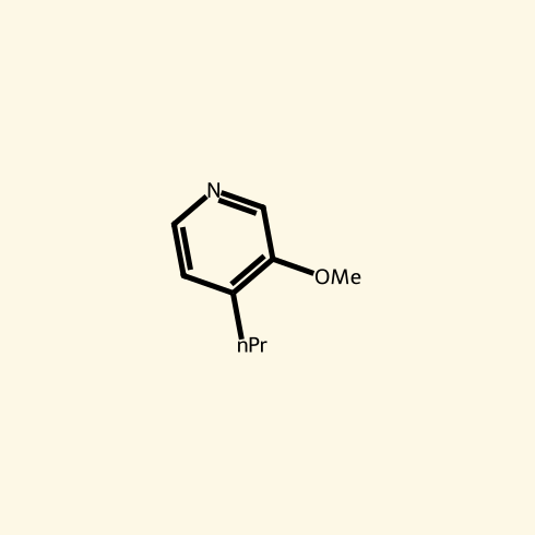 [CH2]CCc1ccncc1OC